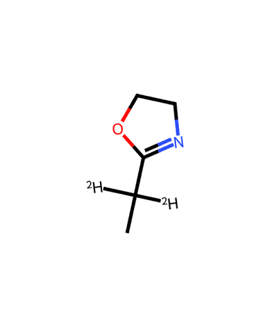 [2H]C([2H])(C)C1=NCCO1